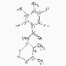 Cc1c(F)c(F)c(C(=O)NC2CCCC(C)C2C)c(F)c1F